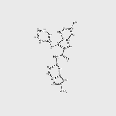 Cc1nc2cc(NC(=O)c3cc4cc(F)cnc4n3Cc3ccncc3)ccc2s1